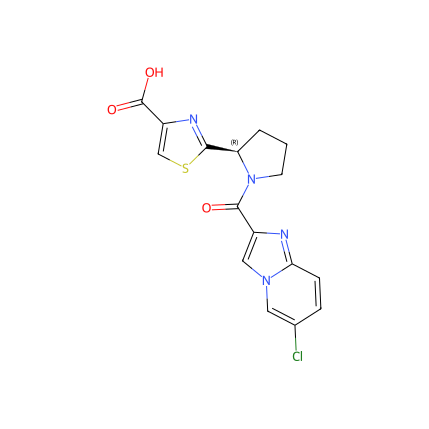 O=C(O)c1csc([C@H]2CCCN2C(=O)c2cn3cc(Cl)ccc3n2)n1